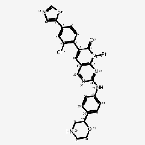 CCn1c(=O)c(-c2ccc(-c3cncs3)cc2Cl)cc2cnc(Nc3ccc(C4CNCCO4)cc3)nc21